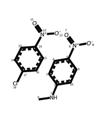 CNc1ccc([N+](=O)[O-])cc1.O=[N+]([O-])c1ccc(Cl)cc1